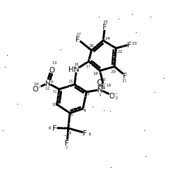 O=[N+]([O-])c1cc(C(F)(F)F)cc([N+](=O)[O-])c1Nc1c(F)c(F)c(F)c(F)c1F